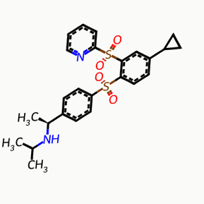 CC(C)N[C@@H](C)c1ccc(S(=O)(=O)c2ccc(C3CC3)cc2S(=O)(=O)c2ccccn2)cc1